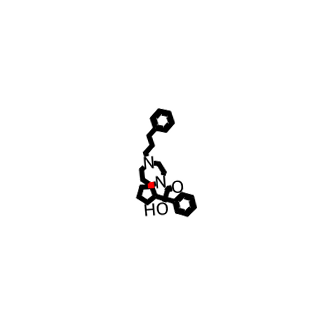 O=C(N1CCCN(CCCc2ccccc2)CC1)C(O)(c1ccccc1)C1CCCC1